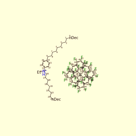 CCCCCCCCCCCCCCCCCCCc1ccc([NH+](CC)CCCCCCCCCCCCCCCCCC)cc1.Fc1c(F)c(F)c2c([B-](c3c(F)c(F)c(F)c4c(F)c(F)c(F)c(F)c34)(c3c(F)c(F)c(F)c4c(F)c(F)c(F)c(F)c34)c3c(F)c(F)c(F)c4c(F)c(F)c(F)c(F)c34)c(F)c(F)c(F)c2c1F